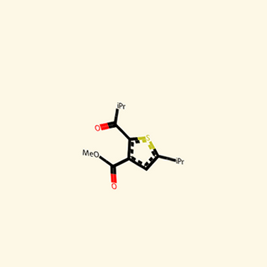 COC(=O)c1cc(C(C)C)sc1C(=O)C(C)C